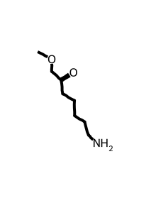 COCC(=O)CCCCCN